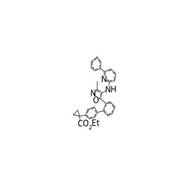 CCOC(=O)C1(c2ccc(-c3ccccc3-c3onc(C)c3Nc3cccc(-c4ccccc4)n3)cc2)CC1